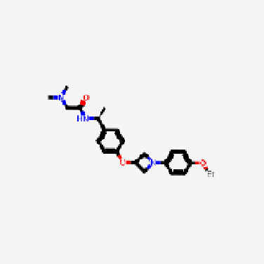 CCOc1ccc(N2CC(Oc3ccc([C@H](C)NC(=O)CN(C)C)cc3)C2)cc1